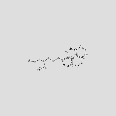 CC(C)OCC(COCc1ccc2ccc3cccc4ccc1c2c34)OC(C)C